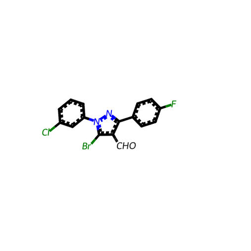 O=Cc1c(-c2ccc(F)cc2)nn(-c2cccc(Cl)c2)c1Br